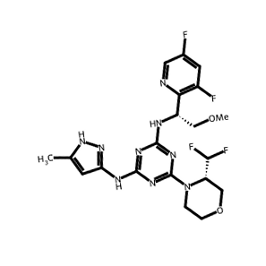 COC[C@H](Nc1nc(Nc2cc(C)[nH]n2)nc(N2CCOC[C@H]2C(F)F)n1)c1ncc(F)cc1F